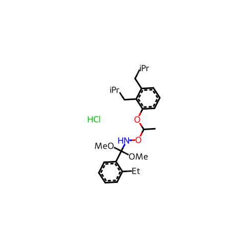 CCc1ccccc1C(NOC(C)Oc1cccc(CC(C)C)c1CC(C)C)(OC)OC.Cl